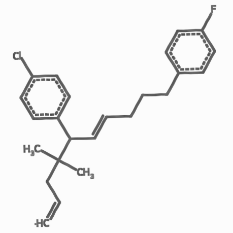 [CH]=CCC(C)(C)C(C=CCCCc1ccc(F)cc1)c1ccc(Cl)cc1